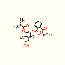 C=C(C)C(=O)Oc1cccc(CCO)c1CC.CCCCCCCCOC(=O)c1ccccc1C(=O)OCCCCCCCC